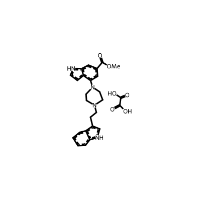 COC(=O)c1cc(N2CCN(CCc3c[nH]c4ccccc34)CC2)c2cc[nH]c2c1.O=C(O)C(=O)O